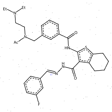 CCN(CC)CCN(Cc1cccc(C(=O)Nc2sc3c(c2C(=O)N/N=C/c2cccc(F)c2)CCCC3)c1)C(C)=O